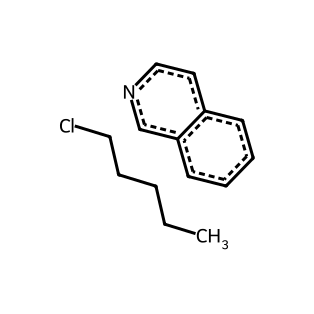 CCCCCCl.c1ccc2cnccc2c1